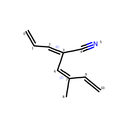 C=C/C=C(C#N)\C=C(\C)C=C